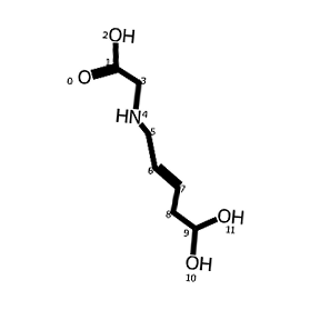 O=C(O)CNCC=CCC(O)O